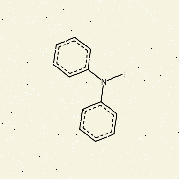 [C]N(c1ccccc1)c1ccccc1